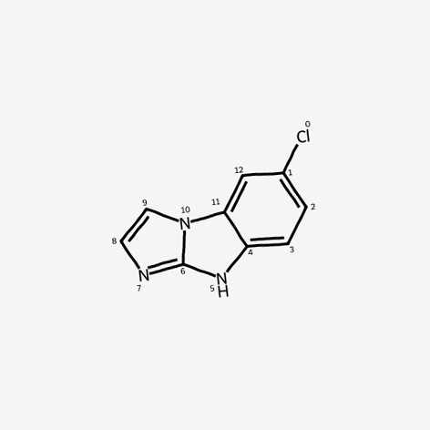 Clc1ccc2[nH]c3nccn3c2c1